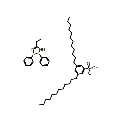 CCC1=NN(c2ccccc2)N(c2ccccc2)N1.CCCCCCCCCCCCc1cc(CCCCCCCCCCCC)cc(S(=O)(=O)O)c1